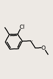 COC[CH]c1cccc(C)c1Cl